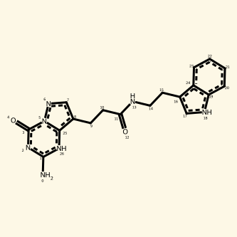 Nc1nc(=O)n2ncc(CCC(=O)NCCc3c[nH]c4ccccc34)c2[nH]1